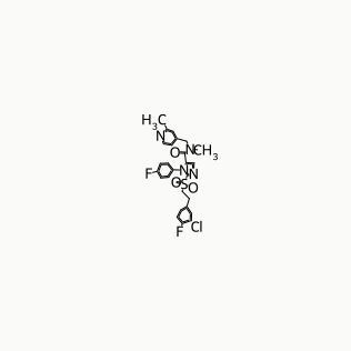 Cc1cc(CN(C)C(=O)c2cnc(S(=O)(=O)CCc3ccc(F)c(Cl)c3)n2-c2ccc(F)cc2)ccn1